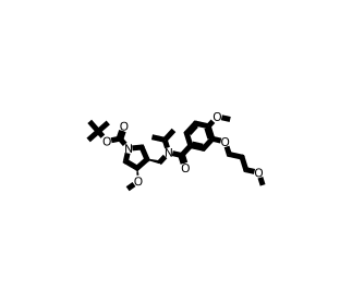 COCCCOc1cc(C(=O)N(C[C@@H]2CN(C(=O)OC(C)(C)C)C[C@H]2OC)C(C)C)ccc1OC